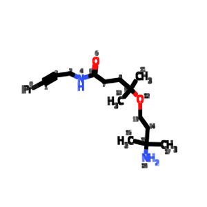 CC(C)C#CCNC(=O)CCC(C)(C)OCCC(C)(C)N